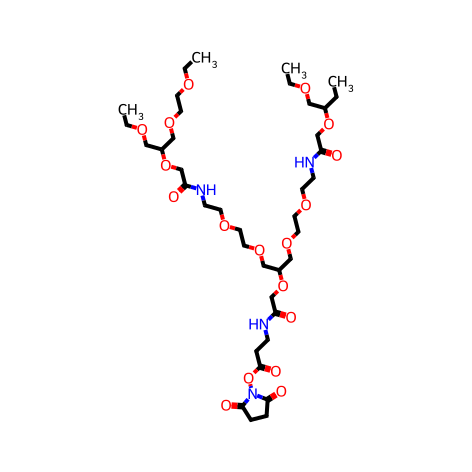 CCOCCOCC(COCC)OCC(=O)NCCOCCOCC(COCCOCCNC(=O)COC(CC)COCC)OCC(=O)NCCC(=O)ON1C(=O)CCC1=O